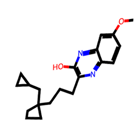 COc1ccc2nc(CCCC3(CC4CC4)CCC3)c(O)nc2c1